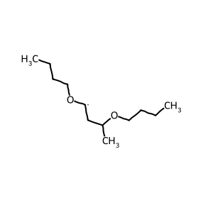 CCCCO[CH]CC(C)OCCCC